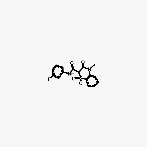 CN1C(=O)C(C(=O)Nc2cccc(F)c2)S(=O)(=O)c2ccccc21